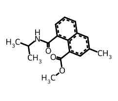 COC(=O)c1cc(C)cc2cccc(C(=O)NC(C)C)c12